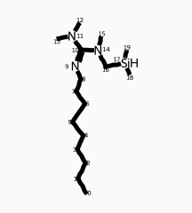 CCCCCCCCCN=C(N(C)C)N(C)C[SiH](C)C